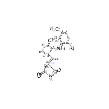 Cc1ccc(Cl)c(Nc2ccccc2/C=C2\SC(=O)NC2=O)c1Cl